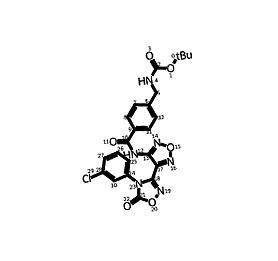 CC(C)(C)OC(=O)NCc1ccc(C(=O)Nc2nonc2-c2noc(=O)n2-c2cccc(Cl)c2)cc1